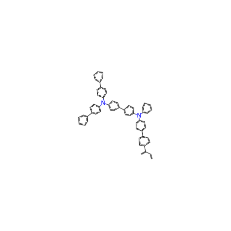 C=CC(=C)c1ccc(-c2ccc(N(c3ccccc3)c3ccc(-c4ccc(N(c5ccc(-c6ccccc6)cc5)c5ccc(-c6ccccc6)cc5)cc4)cc3)cc2)cc1